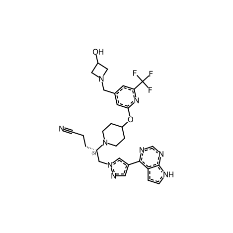 N#CCC[C@@H](Cn1cc(-c2ncnc3[nH]ccc23)cn1)N1CCC(Oc2cc(CN3CC(O)C3)cc(C(F)(F)F)n2)CC1